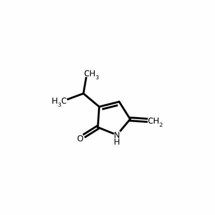 C=C1C=C(C(C)C)C(=O)N1